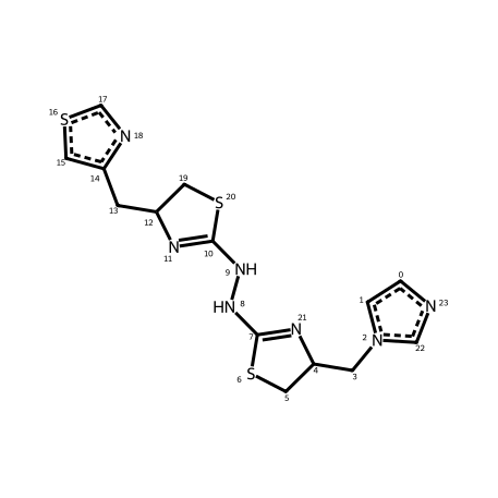 c1cn(CC2CSC(NNC3=NC(Cc4cscn4)CS3)=N2)cn1